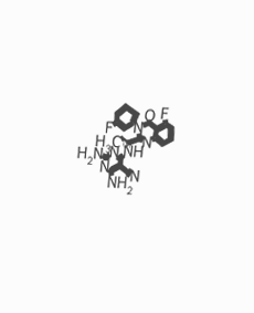 CC[C@H](Nc1nc(N)nc(N)c1C#N)c1nc2cccc(F)c2c(=O)n1-c1cccc(F)c1